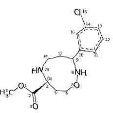 COC(=O)[C@@H]1CCONC(c2cccc(Cl)c2)CCN1